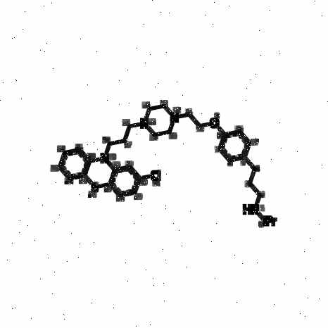 CC(C)NCCCc1ccc(OCCN2CCN(CCCN3c4ccccc4Sc4ccc(Cl)cc43)CC2)cc1